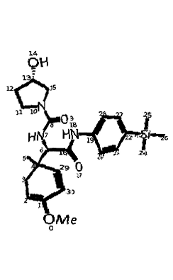 COC1=CCC(C)([C@@H](NC(=O)N2CC[C@H](O)C2)C(=O)Nc2ccc([Si](C)(C)C)cc2)C=C1